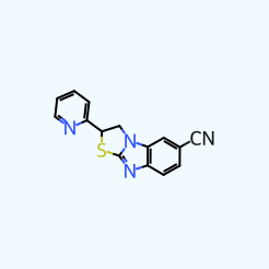 N#Cc1ccc2nc3n(c2c1)CC(c1ccccn1)S3